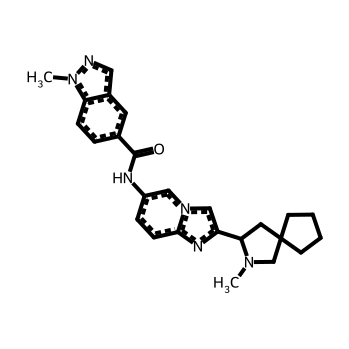 CN1CC2(CCCC2)CC1c1cn2cc(NC(=O)c3ccc4c(cnn4C)c3)ccc2n1